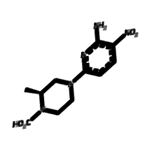 C[C@H]1CN(c2ccc([N+](=O)[O-])c(N)n2)CCN1C(=O)O